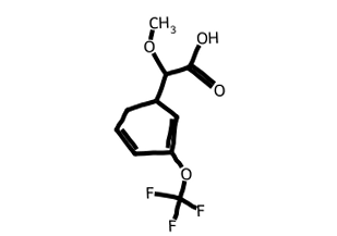 COC(C(=O)O)C1C=C(OC(F)(F)F)C=CC1